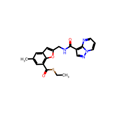 CCSC(=O)c1cc(C)cc2cc(CNC(=O)c3cnn4cccnc34)oc12